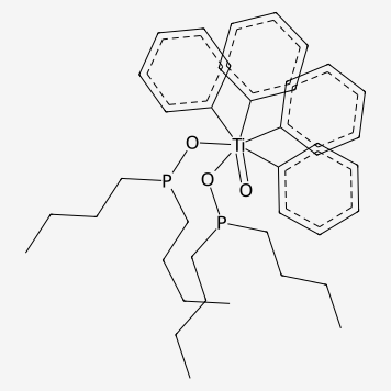 CCCCP(CCCC)[O][Ti](=[O])([O]P(CCCC)CCCC)([c]1ccccc1)([c]1ccccc1)([c]1ccccc1)[c]1ccccc1